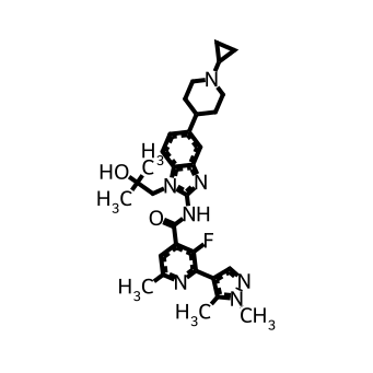 Cc1cc(C(=O)Nc2nc3cc(C4CCN(C5CC5)CC4)ccc3n2CC(C)(C)O)c(F)c(-c2cnn(C)c2C)n1